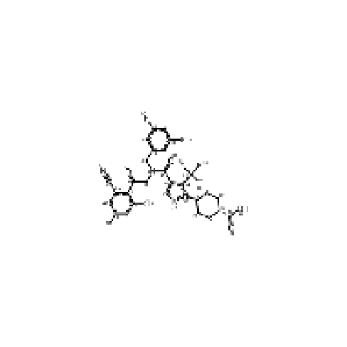 Cc1cc(Cl)c(C(=O)CN(Cc2cc(F)cc(F)c2)C(=O)c2cnn([C@H]3CC[C@H](C(=O)O)CC3)c2C(F)(F)F)c(C#N)c1